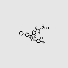 N#Cc1ccc(NC(=O)NC(c2ccc(C(=O)NCCC(=O)O)cc2)c2ccc(C3CCCCC3)cc2)cc1Cl